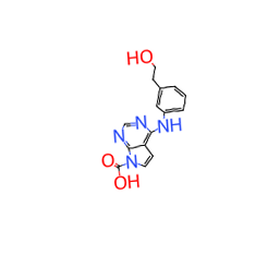 O=C(O)n1ccc2c(Nc3cccc(CCO)c3)ncnc21